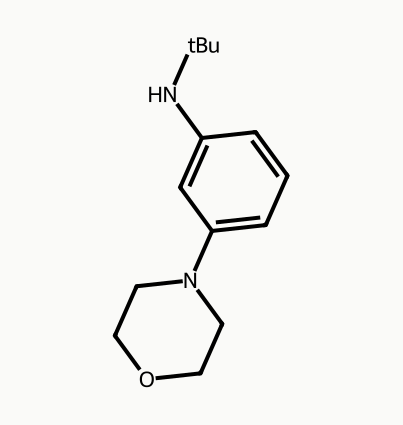 CC(C)(C)Nc1cccc(N2CCOCC2)c1